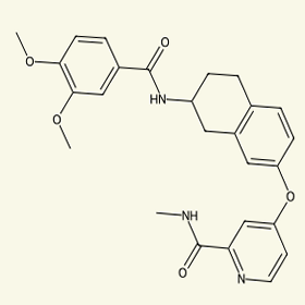 CNC(=O)c1cc(Oc2ccc3c(c2)CC(NC(=O)c2ccc(OC)c(OC)c2)CC3)ccn1